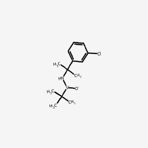 CC(C)(N[S+]([O-])C(C)(C)C)c1cccc(Cl)c1